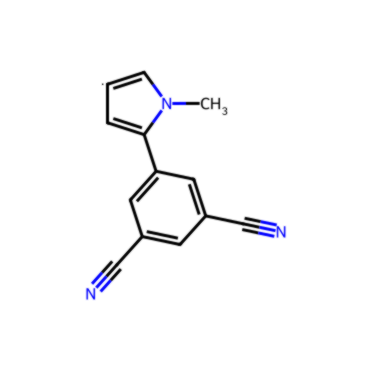 Cn1c[c]cc1-c1cc(C#N)cc(C#N)c1